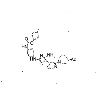 CC(=O)N1CCCN(c2cc(-n3nc(Nc4ccc(NC(=O)Oc5ccc(C)cc5)cc4)nc3N)ncn2)CC1